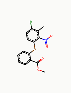 COC(=O)c1ccccc1Sc1ccc(Br)c(C)c1[N+](=O)[O-]